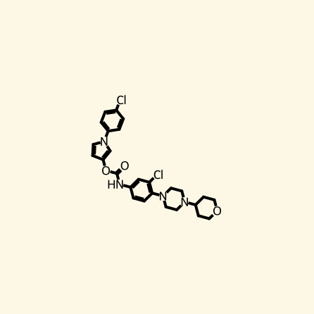 O=C(Nc1ccc(N2CCN(C3CCOCC3)CC2)c(Cl)c1)Oc1ccn(-c2ccc(Cl)cc2)c1